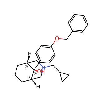 O[C@]1(c2ccc(OCc3ccccc3)cc2)[C@@H]2CCC[C@H]1CN(CC1CC1)C2